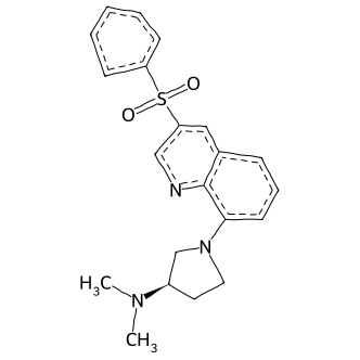 CN(C)[C@@H]1CCN(c2cccc3cc(S(=O)(=O)c4ccccc4)cnc23)C1